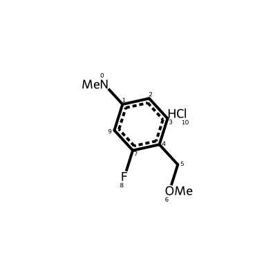 CNc1ccc(COC)c(F)c1.Cl